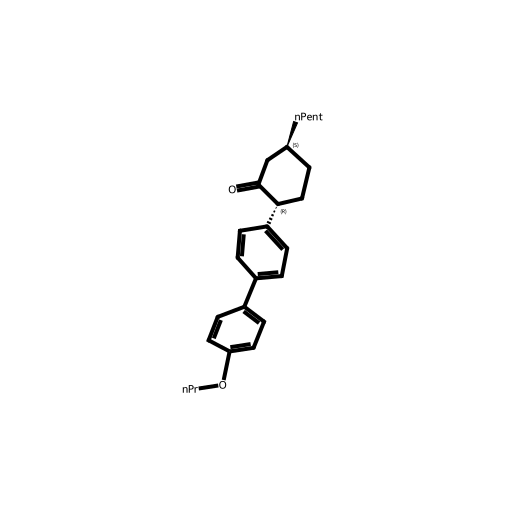 CCCCC[C@H]1CC[C@H](c2ccc(-c3ccc(OCCC)cc3)cc2)C(=O)C1